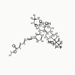 CCOC(=O)C=C/C=C/C#Cc1ccc([C@H]2C[C@@]3(C)C(CC[C@@]3(O)C(F)(F)C(F)(F)F)C3CCC4(O)CC5(CCC4=C32)OCC(C)(C)CO5)cc1